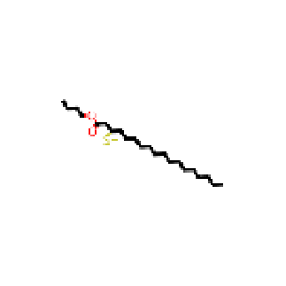 CCCCCCCCCCCCCCCC(S)CC(=O)OCCCC